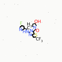 CC(Nc1nc(C(=O)N2CC[C@H](O)C2)c2sc(C(F)(F)F)cc2n1)c1cncc(F)c1